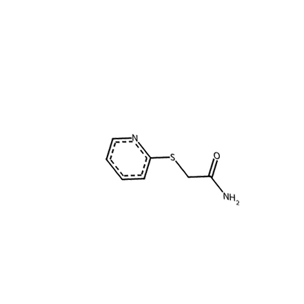 NC(=O)CSc1ccccn1